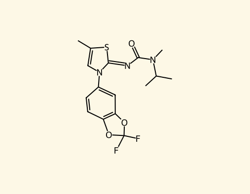 Cc1cn(-c2ccc3c(c2)OC(F)(F)O3)/c(=N/C(=O)N(C)C(C)C)s1